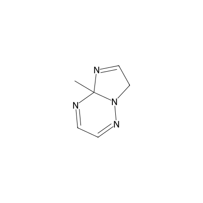 CC12N=CC=NN1CC=N2